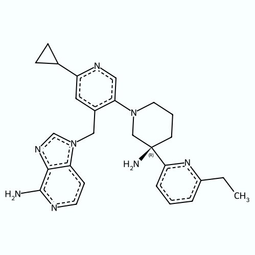 CCc1cccc([C@@]2(N)CCCN(c3cnc(C4CC4)cc3Cn3cnc4c(N)nccc43)C2)n1